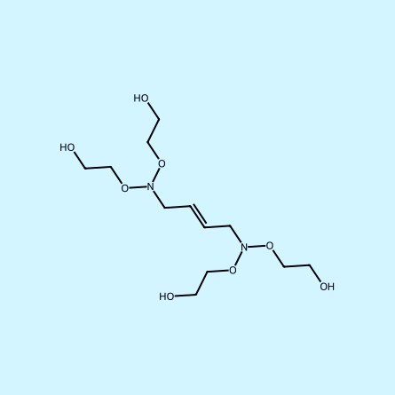 OCCON(CC=CCN(OCCO)OCCO)OCCO